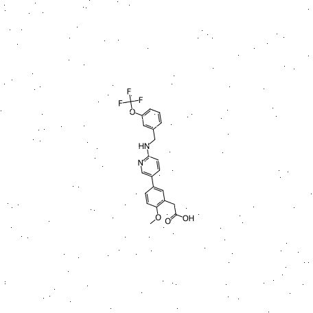 COc1ccc(-c2ccc(NCc3cccc(OC(F)(F)F)c3)nc2)cc1CC(=O)O